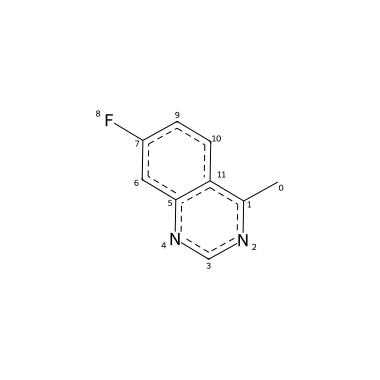 Cc1ncnc2cc(F)ccc12